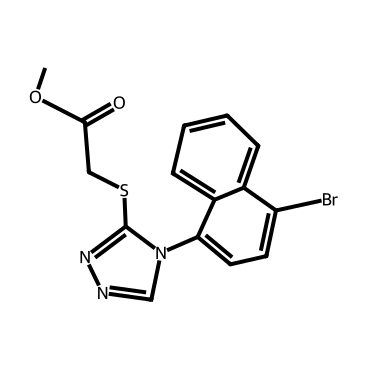 COC(=O)CSc1nncn1-c1ccc(Br)c2ccccc12